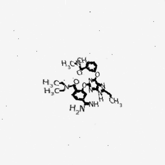 CCc1nc2c(Oc3cccc(C(=O)N(C)C)c3)nc(Oc3cc(C(=N)N)ccc3C(=O)N(CC)CC)nc2[nH]1